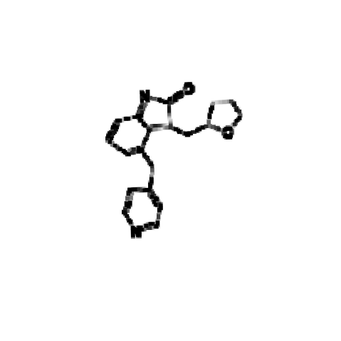 O=C1N=c2cccc(Cc3ccncc3)c2=C1CC1CCCO1